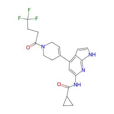 O=C(Nc1cc(C2=CCN(C(=O)CCC(F)(F)F)CC2)c2cc[nH]c2n1)C1CC1